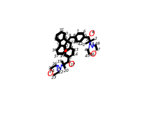 CC(C)(C(=O)c1ccc(CC2(Cc3ccc(C(=O)C(C)(C)N4CCOCC4)cc3)c3ccccc3-c3ccccc32)cc1)N1CCOCC1